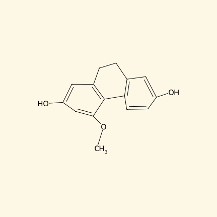 COc1cc(O)cc2c1-c1ccc(O)cc1CC2